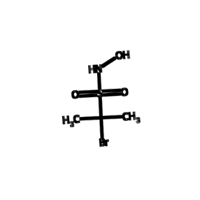 CC(C)(Br)S(=O)(=O)NO